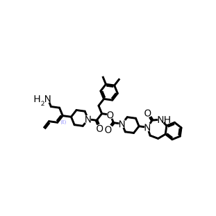 C=C/C=C(\CCN)C1CCN(C(=O)C(Cc2ccc(C)c(C)c2)OC(=O)N2CCC(N3CCc4ccccc4NC3=O)CC2)CC1